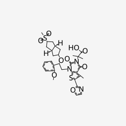 COc1ccccc1C(Cn1c(=O)n(C(C)(C)C(=O)O)c(=O)c2c(C)c(-c3ncco3)sc21)OC1C[C@@H]2CC(S(C)(=O)=O)C[C@@H]2C1